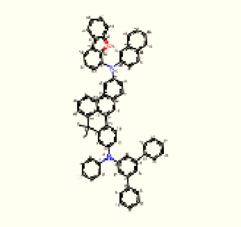 CC1(C)c2cc(N(c3ccccc3)c3cc(-c4ccccc4)cc(-c4ccccc4)c3)ccc2-c2cc3ccc(N(c4ccc5ccccc5c4)c4cccc5c4oc4ccccc45)cc3c3cccc1c23